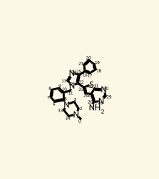 CN1CCN(c2ccccc2Cn2cnc(-c3ccccc3)c2-c2cc3c(N)ncnc3s2)CC1